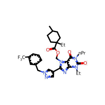 CCCn1c(=O)c2c(nc(-c3cnn(Cc4cccc(C(F)(F)F)c4)c3)n2COC(=O)C2(CC)CCC(C)CC2)n(CC)c1=O